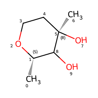 C[C@@H]1OCC[C@@](C)(O)C1O